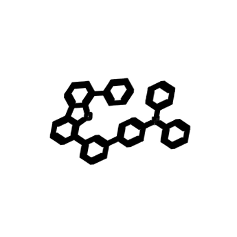 c1ccc(-c2cccc3c2oc2c(-c4cccc(-c5ccc(N(c6ccccc6)c6ccccc6)cc5)c4)cccc23)cc1